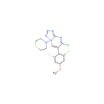 COc1cc(F)c(C2=C[N+]3(N4CCSCC4)N=CN=C3N=C2Cl)c(F)c1